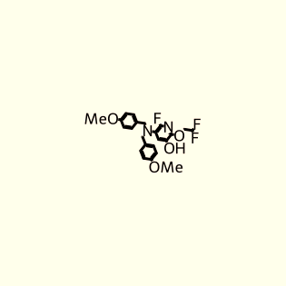 COc1ccc(CN(Cc2ccc(OC)cc2)c2cc(O)c(OCC(F)F)nc2F)cc1